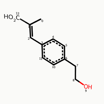 C/C(=C\c1ccc(CCO)cc1)C(=O)O